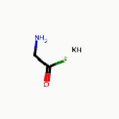 NCC(=O)F.[KH]